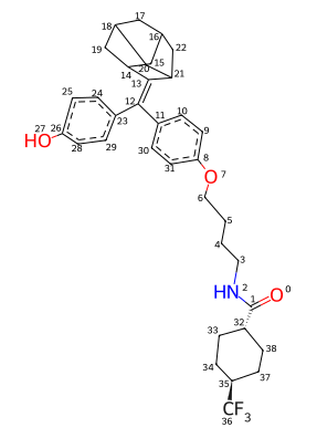 O=C(NCCCCOc1ccc(C(=C2C3CC4CC(C3)CC2C4)c2ccc(O)cc2)cc1)[C@H]1CC[C@H](C(F)(F)F)CC1